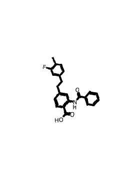 Cc1ccc(CCc2ccc(C(=O)O)c(NC(=O)c3ccccc3)c2)cc1F